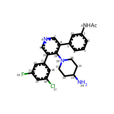 CC(=O)Nc1cccc(-c2cncc(-c3cc(F)cc(Cl)c3)c2N2CCC(N)CC2)c1